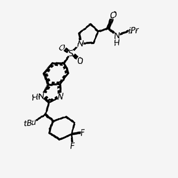 CC(C)NC(=O)C1CCN(S(=O)(=O)c2ccc3[nH]c(C(C4CCC(F)(F)CC4)C(C)(C)C)nc3c2)C1